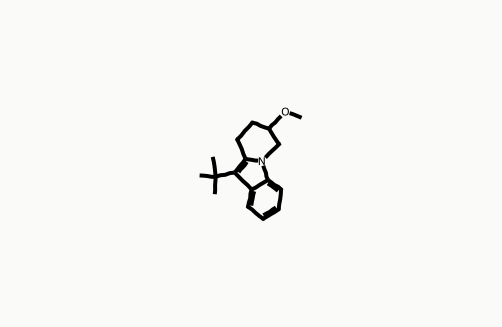 COC1CCc2c(C(C)(C)C)c3ccccc3n2C1